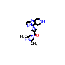 CC1CN(C(=O)C2CN(c3c4c(nc5ccnn35)CCNCC4)C2)CC(C)N1